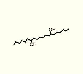 CCCCCCC(O)CCCCCCC(O)CCCCCC